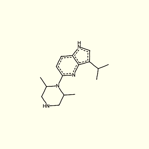 CC(C)c1c[nH]c2ccc(N3C(C)CNCC3C)nc12